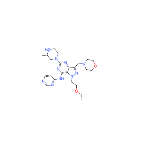 CCOCCn1nc(CN2CCOCC2)c2nc(N3CCNC(C)C3)nc(Nc3ccncn3)c21